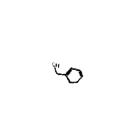 OCC1=CC=CCC1